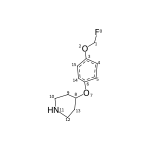 FCOc1ccc(OC2CCNCC2)cc1